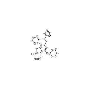 O=CC[C@H]1[C@@H](C(=CCCCc2ccco2)OC2CCCCO2)[C@@H](OC2CCCCO2)C[C@H]1O